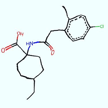 CCC1CCC(NC(=O)Cc2ccc(Cl)cc2C)(C(=O)O)CC1